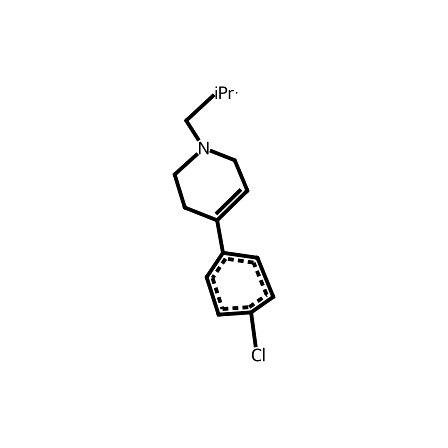 C[C](C)CN1CC=C(c2ccc(Cl)cc2)CC1